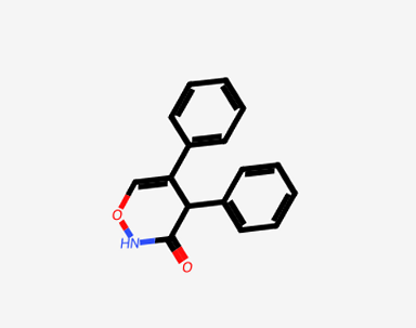 O=C1NOC=C(c2ccccc2)C1c1ccccc1